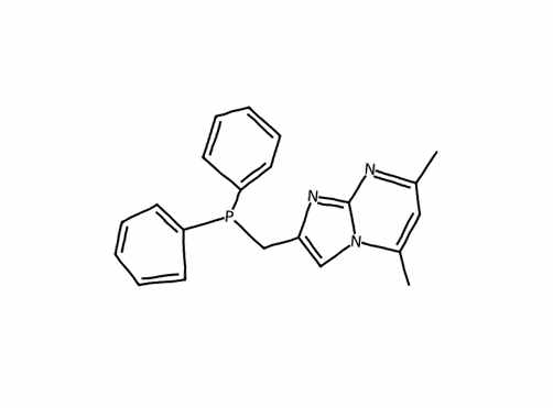 Cc1cc(C)n2cc(CP(c3ccccc3)c3ccccc3)nc2n1